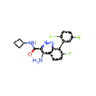 Nc1c(C(=O)NC2CCC2)nnc2c(-c3cc(F)ccc3F)c(F)ccc12